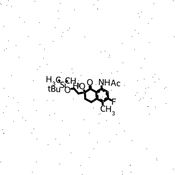 CC(=O)Nc1cc(F)c(C)c2c1C(=O)C(O)(CCO[Si](C)(C)C(C)(C)C)CC2